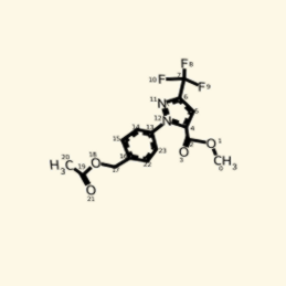 COC(=O)c1cc(C(F)(F)F)nn1-c1ccc(COC(C)=O)cc1